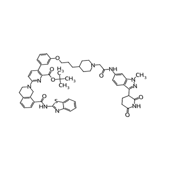 Cn1nc(C2CCC(=O)NC2=O)c2ccc(NC(=O)CN3CCC(CCCOc4cccc(-c5ccc(N6CCc7cccc(C(=O)Nc8nc9ccccc9s8)c7C6)nc5C(=O)OC(C)(C)C)c4)CC3)cc21